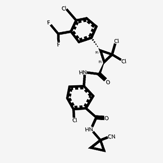 N#CC1(NC(=O)c2cc(NC(=O)[C@H]3[C@H](c4ccc(Cl)c(C(F)F)c4)C3(Cl)Cl)ccc2Cl)CC1